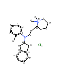 Cc1ccccc1N(CCC1CCCC[N+]1(C)C)C1Cc2ccccc2C1.[Cl-]